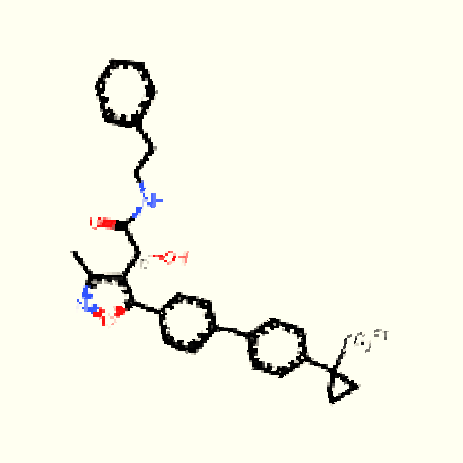 CCOC(=O)C1(c2ccc(-c3ccc(-c4onc(C)c4[C@@H](O)C(=O)NCCc4ccccc4)cc3)cc2)CC1